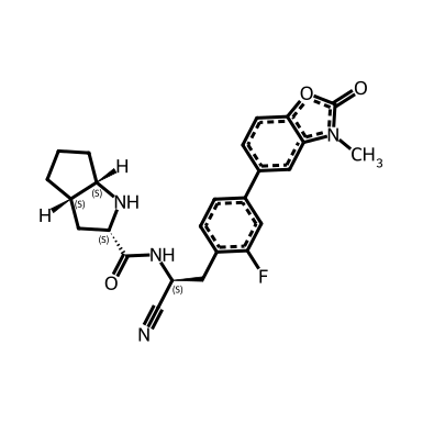 Cn1c(=O)oc2ccc(-c3ccc(C[C@@H](C#N)NC(=O)[C@@H]4C[C@@H]5CCC[C@@H]5N4)c(F)c3)cc21